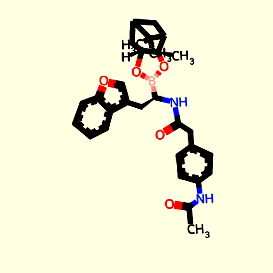 CC(=O)Nc1ccc(CC(=O)N[C@@H](Cc2coc3ccccc23)B2O[C@@H]3CC4CC(C4(C)C)[C@]3(C)O2)cc1